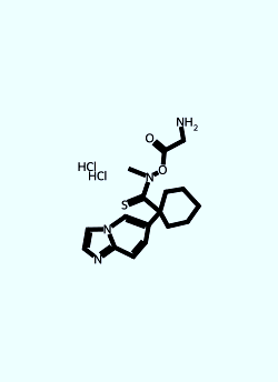 CN(OC(=O)CN)C(=S)C1(c2ccc3nccn3c2)CCCCC1.Cl.Cl